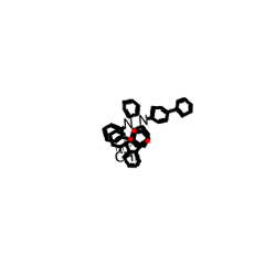 C[C@H]1CCCC[C@]12c1ccccc1-c1ccc(N(c3ccc(-c4ccccc4)cc3)c3ccccc3-n3c4ccccc4c4ccccc43)cc12